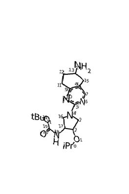 CC(C)OC1CN(c2ncc3c(n2)CCC(N)C3)CC1NC(=O)OC(C)(C)C